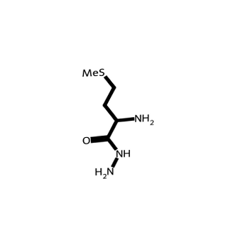 CSCCC(N)C(=O)NN